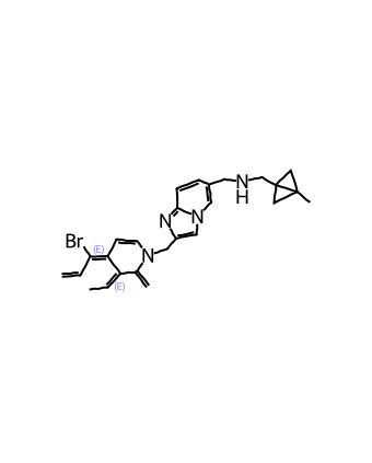 C=C/C(Br)=C1/C=CN(Cc2cn3cc(CNCC45CC4(C)C5)ccc3n2)C(=C)/C1=C/C